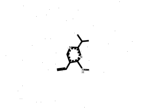 C=Cc1cnc(C(C)C)nc1NC